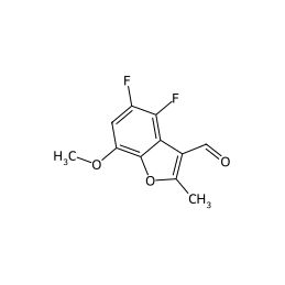 COc1cc(F)c(F)c2c(C=O)c(C)oc12